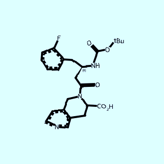 CC(C)(C)OC(=O)N[C@@H](CC(=O)N1Cc2ccncc2CC1C(=O)O)Cc1ccccc1F